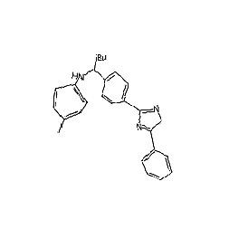 CCC(C)C(Nc1ccc(C)cc1)c1ccc(C2=NCC(c3ccccc3)=N2)cc1